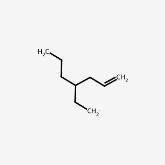 [CH2]CCC(C[CH2])CC=C